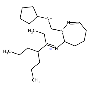 CCCC(CCC)/C(CC)=N/C1CCCC=NN1CNC1CCCC1